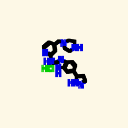 Cl.c1cc(-c2ccc3nc(Nc4cc(CN5CCNCC5)ccn4)[nH]c3c2)[nH]n1